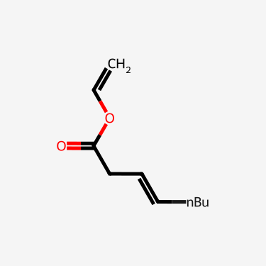 C=COC(=O)CC=CCCCC